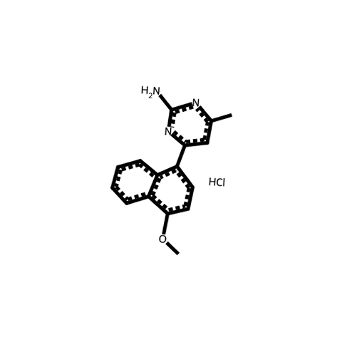 COc1ccc(-c2cc(C)nc(N)n2)c2ccccc12.Cl